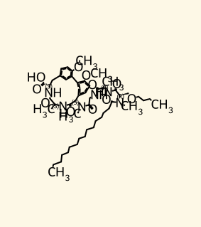 CCCCCCCCCCCCCCCC(=O)N(C)[C@H](COCCCC)C(=O)N[C@H](C)C(=O)NCC(=O)N(C)[C@@H]1C(=O)N[C@@H](C)C(=O)N[C@H](C(=O)O)Cc2ccc(OC)c(c2)-c2cc1ccc2OC